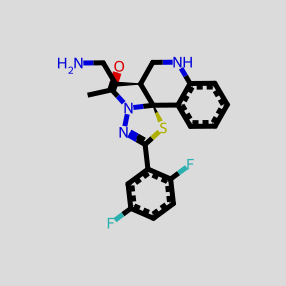 CC(=O)N1N=C(c2cc(F)ccc2F)S[C@@]12c1ccccc1NC[C@@H]2CCN